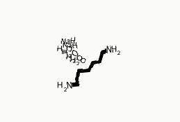 NCCCCCCN.O.O.O.O.[NaH].[NaH]